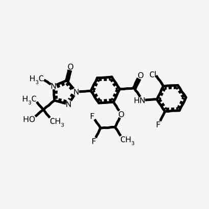 CC(Oc1cc(-n2nc(C(C)(C)O)n(C)c2=O)ccc1C(=O)Nc1c(F)cccc1Cl)C(F)F